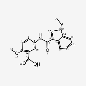 CCn1nc(C(=O)Nc2ccc(OC)c(C(=O)O)c2)c2ccccc21